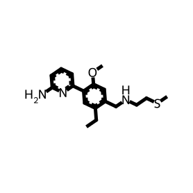 CCc1cc(-c2cccc(N)n2)c(OC)cc1CNCCSC